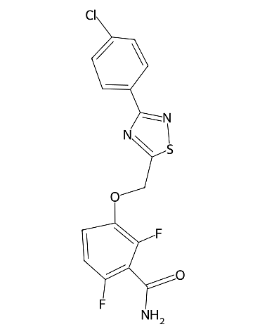 NC(=O)c1c(F)ccc(OCc2nc(-c3ccc(Cl)cc3)ns2)c1F